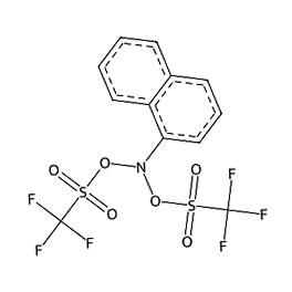 O=S(=O)(ON(OS(=O)(=O)C(F)(F)F)c1cccc2ccccc12)C(F)(F)F